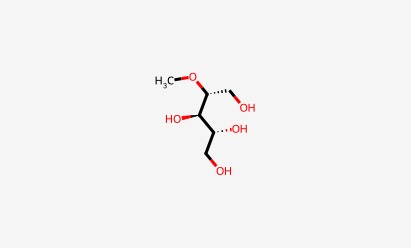 CO[C@H](CO)[C@H](O)[C@H](O)CO